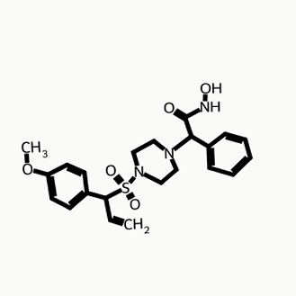 C=CC(c1ccc(OC)cc1)S(=O)(=O)N1CCN(C(C(=O)NO)c2ccccc2)CC1